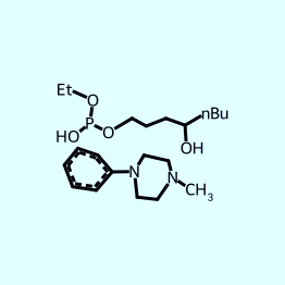 CCCCC(O)CCCOP(O)OCC.CN1CCN(c2ccccc2)CC1